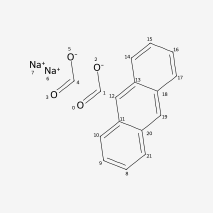 O=C[O-].O=C[O-].[Na+].[Na+].c1ccc2cc3ccccc3cc2c1